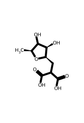 C[C@@H]1O[C@H](CC(C(=O)O)C(=O)O)[C@H](O)C1O